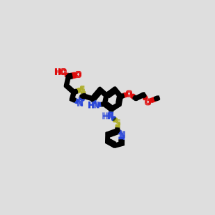 COCCOc1cc(NSc2ccccn2)c2[nH]c(C3=NCC(CC(=O)O)S3)cc2c1